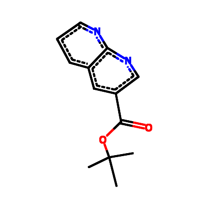 CC(C)(C)OC(=O)c1cnc2ncccc2c1